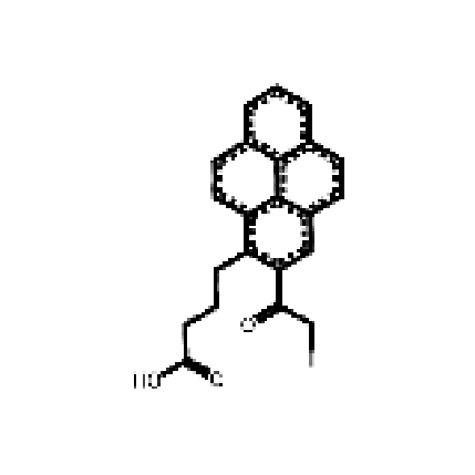 O=C(O)CCCc1c(C(=O)CI)cc2ccc3cccc4ccc1c2c34